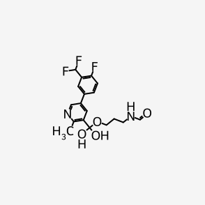 Cc1ncc(-c2ccc(F)c(C(F)F)c2)cc1C(O)(O)OCCCNC=O